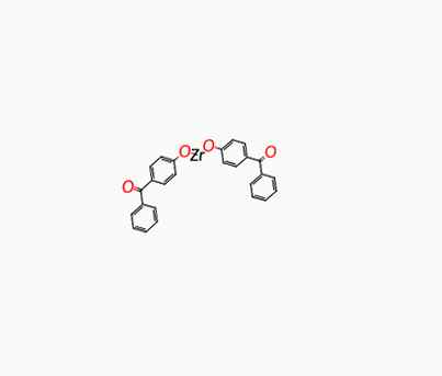 O=C(c1ccccc1)c1ccc([O][Zr][O]c2ccc(C(=O)c3ccccc3)cc2)cc1